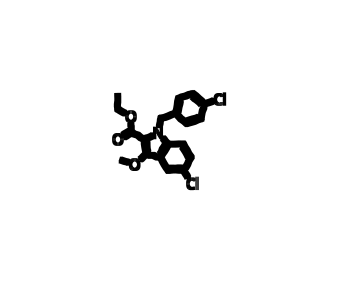 CCOC(=O)c1c(OC)c2cc(Cl)ccc2n1Cc1ccc(Cl)cc1